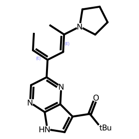 C/C=C(\C=C(/C)N1CCCC1)c1cnc2[nH]cc(C(=O)C(C)(C)C)c2n1